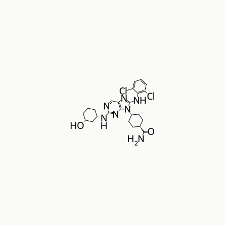 NC(=O)[C@H]1CC[C@H](n2c(Nc3c(Cl)cccc3Cl)nc3cnc(N[C@H]4CCC[C@@H](O)C4)nc32)CC1